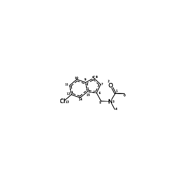 CC(=O)N(C)Cc1csc2ccc(Cl)cc12